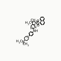 CN(C)C1CCN(c2ccc(Nc3ncc4c(n3)N(S(=O)(=O)c3cccc5ccccc35)CC4(C)C)cc2)CC1